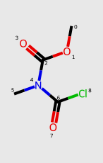 COC(=O)N(C)C(=O)Cl